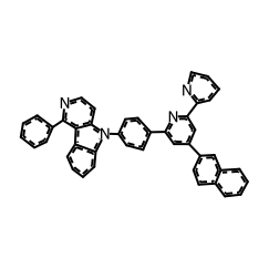 c1ccc(-c2nccc3c2c2ccccc2n3-c2ccc(-c3cc(-c4ccc5ccccc5c4)cc(-c4ccccn4)n3)cc2)cc1